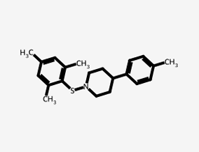 Cc1ccc(C2CCN(Sc3c(C)cc(C)cc3C)CC2)cc1